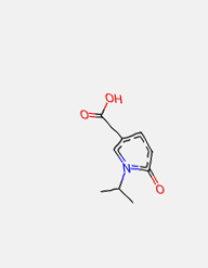 CC(C)n1cc(C(=O)O)ccc1=O